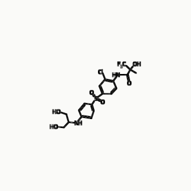 CC(O)(C(=O)Nc1ccc(S(=O)(=O)c2ccc(NC(CO)CO)cc2)cc1Cl)C(F)(F)F